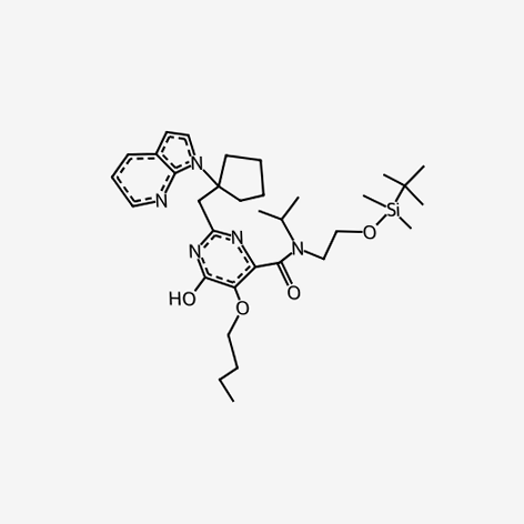 CCCCOc1c(O)nc(CC2(n3ccc4cccnc43)CCCC2)nc1C(=O)N(CCO[Si](C)(C)C(C)(C)C)C(C)C